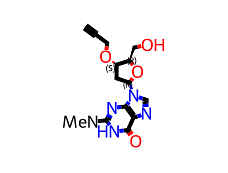 C#CCO[C@H]1C[C@H](n2cnc3c(=O)[nH]c(NC)nc32)O[C@@H]1CO